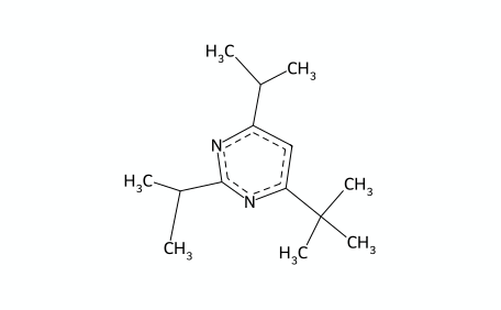 CC(C)c1cc(C(C)(C)C)nc(C(C)C)n1